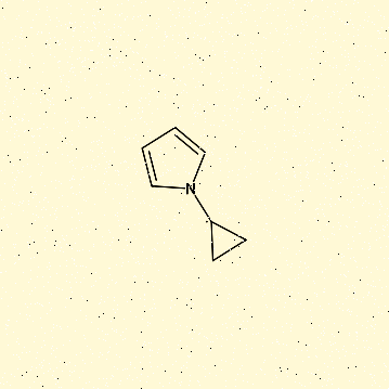 c1ccn([C]2CC2)c1